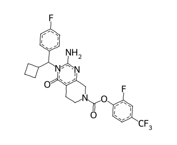 Nc1nc2c(c(=O)n1C(c1ccc(F)cc1)C1CCC1)CCN(C(=O)Oc1ccc(C(F)(F)F)cc1F)C2